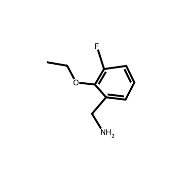 CCOc1c(F)cccc1CN